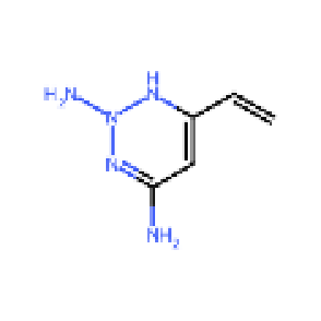 C=CC1=CC(N)=NN(N)N1